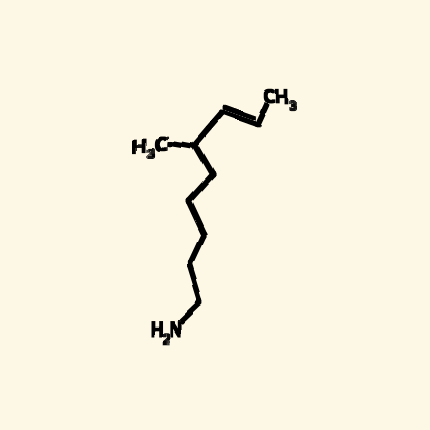 C/C=C/C(C)CCCCCN